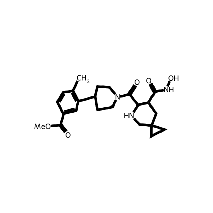 COC(=O)c1ccc(C)c(C2CCN(C(=O)C3NCC4(CC4)CC3C(=O)NO)CC2)c1